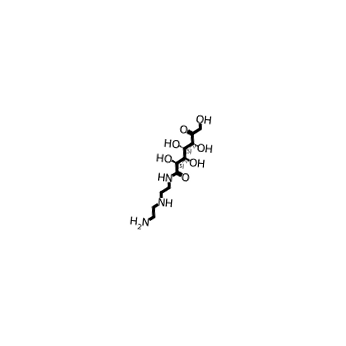 NCCNCCNC(=O)[C@@H](O)[C@H](O)[C@H](O)[C@@H](O)C(=O)CO